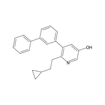 Oc1cnc(CCC2CC2)c(-c2cccc(-c3ccccc3)c2)c1